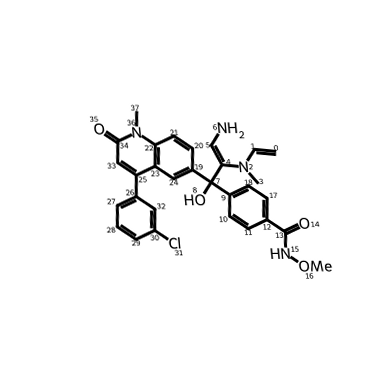 C=CN(C)/C(=C\N)C(O)(c1ccc(C(=O)NOC)cc1)c1ccc2c(c1)c(-c1cccc(Cl)c1)cc(=O)n2C